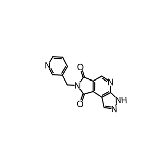 O=C1c2cnc3[nH]ncc3c2C(=O)N1Cc1cccnc1